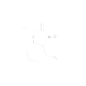 Nc1cccc2c1c(=O)[nH][s+]2[O-]